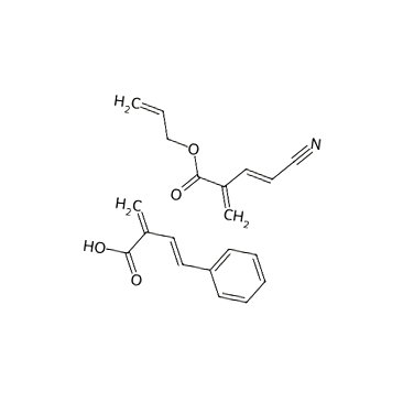 C=C(C=Cc1ccccc1)C(=O)O.C=CCOC(=O)C(=C)C=CC#N